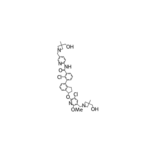 COc1nc(OC2CCc3c(-c4cccc(C(=O)Nc5ccc(CN6CC(C)(CO)C6)cn5)c4Cl)cccc32)c(Cl)cc1CN1CC(C)(CO)C1